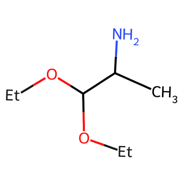 CCOC(OCC)C(C)N